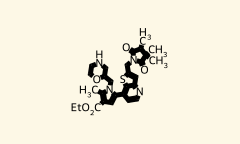 CCOC(=O)c1cc(-c2ccnc3cc(CN4C(=O)C(C)C(C)(C)C4=O)sc23)n(CC2CNCCO2)c1C